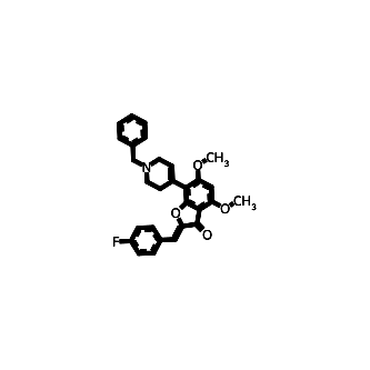 COc1cc(OC)c(C2=CCN(Cc3ccccc3)CC2)c2c1C(=O)/C(=C/c1ccc(F)cc1)O2